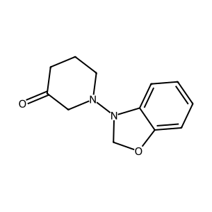 O=C1CCCN(N2COc3ccccc32)C1